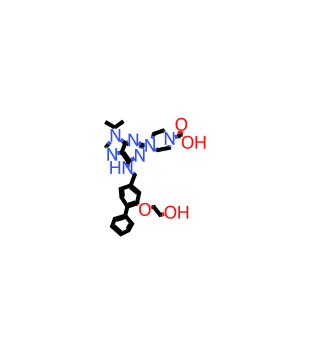 CC(C)n1cnc2c(NCc3ccc(-c4ccccc4)c(OCCO)c3)nc(N3CCN(C(=O)O)CC3)nc21